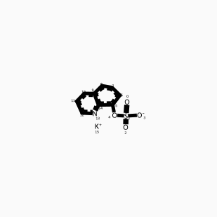 O=S(=O)([O-])Oc1cccc2cccnc12.[K+]